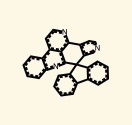 c1ccc2c(c1)-c1ccccc1C21c2cnccc2-c2nccc3c2c1nc1ccccc13